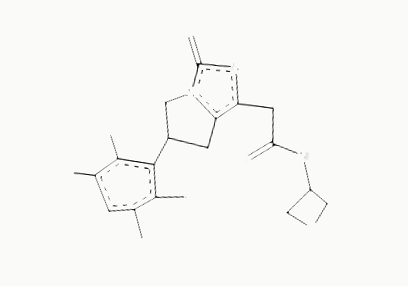 O=C(Cc1[nH]c(=S)n2c1CC(c1c(F)c(F)cc(F)c1F)C2)NC1COC1